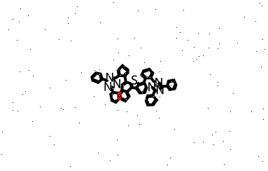 c1ccc(-c2nc(-c3ccccc3)nc(-c3ccccc3-c3cccc4c3sc3c(-c5ccccc5-c5nc(-c6ccccc6)nc(-c6ccccc6)n5)cc5ccccc5c34)n2)cc1